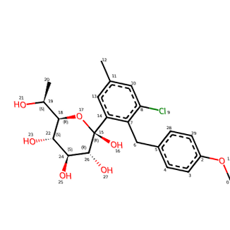 COc1ccc(Cc2c(Cl)cc(C)cc2[C@@]2(O)O[C@H]([C@H](C)O)[C@@H](O)[C@H](O)[C@H]2O)cc1